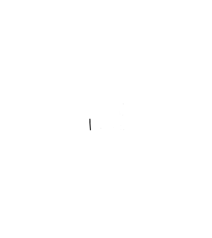 C.C.C.C.CO